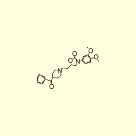 COc1ccc(N2CC(CCN3CCC(C(=O)c4ccccc4)CC3)OC2=O)cc1OC